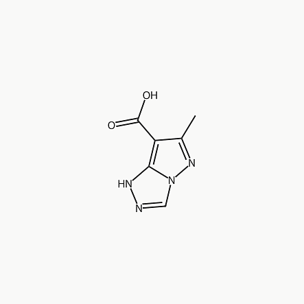 Cc1nn2cn[nH]c2c1C(=O)O